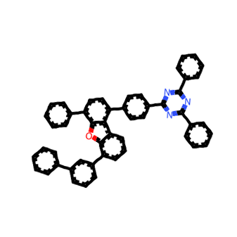 c1ccc(-c2cccc(-c3cccc4c3oc3c(-c5ccccc5)ccc(-c5ccc(-c6nc(-c7ccccc7)nc(-c7ccccc7)n6)cc5)c34)c2)cc1